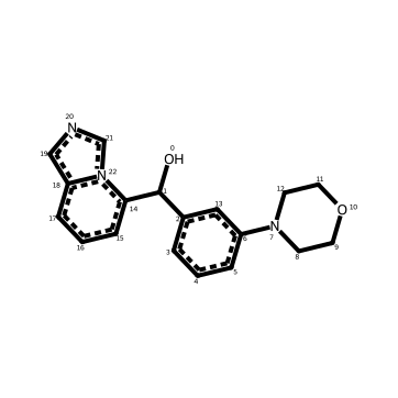 OC(c1cccc(N2CCOCC2)c1)c1cccc2cncn12